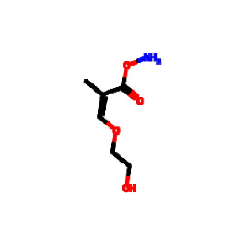 CC(=COCCO)C(=O)ON